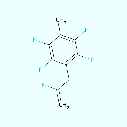 [CH2]c1c(F)c(F)c(CC(=C)F)c(F)c1F